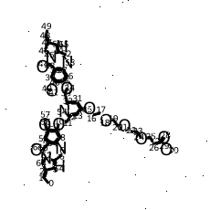 C/C=C1\C[C@H]2C=Nc3cc(OCc4cc(OCCOCCOCCOCCC(=O)OC)cc(COc5cc6c(cc5OC)C(=O)N5C/C(=C/C)C[C@H]5C=N6)n4)c(OC)cc3C(=O)N2C1